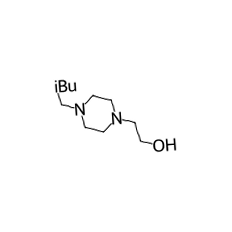 CCC(C)CN1CCN(CCO)CC1